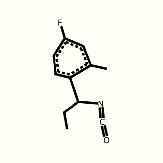 CCC(N=C=O)c1ccc(F)cc1C